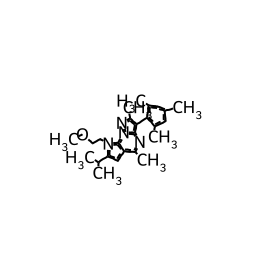 COCCn1c(C(C)C)cc2c(C)nc3c(-c4c(C)cc(C)cc4C)c(C)nn3c21